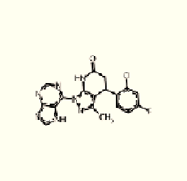 Cc1nn(-c2ncnc3nc[nH]c23)c2c1C(c1ccc(F)cc1Cl)CC(=O)N2